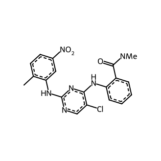 CNC(=O)c1ccccc1Nc1nc(Nc2cc([N+](=O)[O-])ccc2C)ncc1Cl